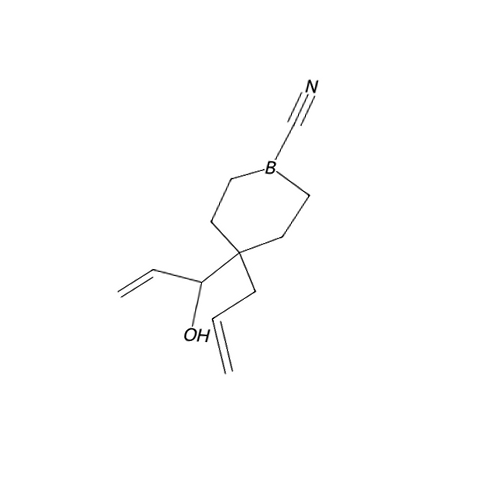 C=CCC1(C(O)C=C)CCB(C#N)CC1